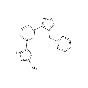 FC(F)(F)c1cc(-c2cc(-c3cccn3Cc3ccccc3)ccn2)[nH]n1